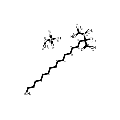 CCCCCCCCCCCCCCCCC(C)(C(=O)O)N(C)C(C)O.COS(=O)(=O)O